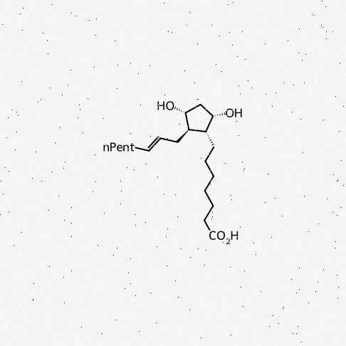 CCCCCC=CC[C@@H]1[C@@H](CCCCCCC(=O)O)[C@@H](O)C[C@H]1O